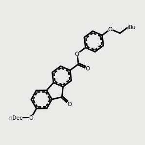 CCCCCCCCCCOc1ccc2c(c1)C(=O)c1cc(C(=O)Oc3ccc(OCC(C)CC)cc3)ccc1-2